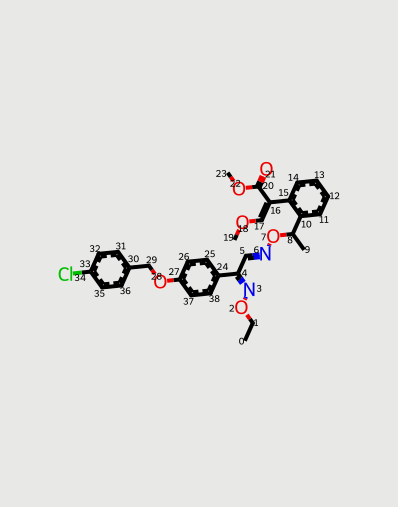 CCON=C(C=NOC(C)c1ccccc1C(=COC)C(=O)OC)c1ccc(OCc2ccc(Cl)cc2)cc1